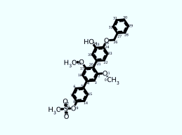 COc1cc(-c2ccc(OS(C)(=O)=O)cc2)cc(OC)c1-c1ccc(OCc2ccccc2)c(O)c1